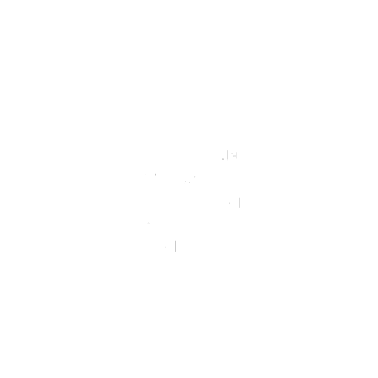 C=COCCCl.ClC(Br)Br